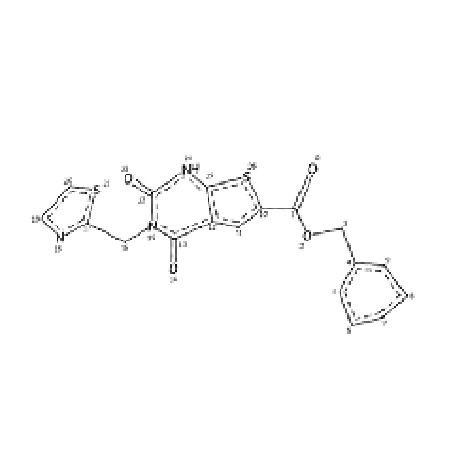 O=C(OCc1ccccc1)c1cc2c(=O)n(Cc3nccs3)c(=O)[nH]c2s1